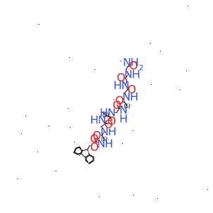 C[C@H](NC(=O)CNC(=O)[C@H](C)NC(=O)CNC(=O)[C@H](C)NC(=O)OCC1c2ccccc2-c2ccccc21)C(=O)NCC(=O)NCC(=O)NCC(N)=O